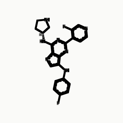 Fc1ccc(Nc2csc3c(N[C@@H]4CCNC4)nc(-c4ccncc4F)nc23)cc1